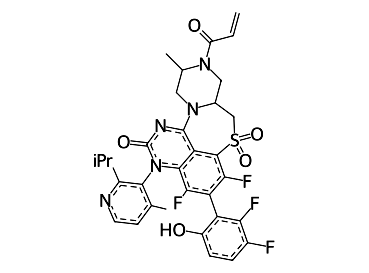 C=CC(=O)N1CC2CS(=O)(=O)c3c(F)c(-c4c(O)ccc(F)c4F)c(F)c4c3c(nc(=O)n4-c3c(C)ccnc3C(C)C)N2CC1C